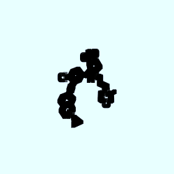 C[C@H]1COCCN1CCCn1nc(-c2ccc(Cl)c(C#Cc3ccc4c(c3)CN(C3CC3)CC4)c2)c2c1CCN(S(C)(=O)=O)C2